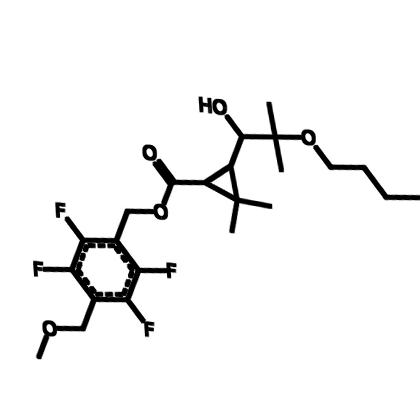 CCCCOC(C)(C)C(O)C1C(C(=O)OCc2c(F)c(F)c(COC)c(F)c2F)C1(C)C